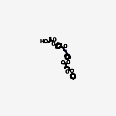 C=C(CO)C(=O)Oc1ccc(C(=O)/C=C/c2ccc(OC(=O)C(=C)CC(=O)OC3CCCCC3)cc2)cc1